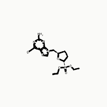 CCOP(=O)(OCC)[C@H]1CC[C@H](Cn2cnc3c(Cl)nc(N)nc32)O1